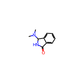 CN(C)C1NC(=O)c2ccccc21